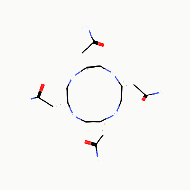 NC(=O)C[C@@H]1CN[C@H](CC(N)=O)CN[C@H](CC(N)=O)CN[C@H](CC(N)=O)CN1